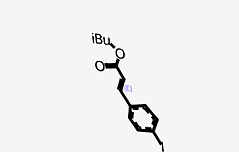 CCC(C)OC(=O)/C=C/c1ccc(I)cc1